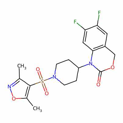 Cc1noc(C)c1S(=O)(=O)N1CCC(N2C(=O)OCc3cc(F)c(F)cc32)CC1